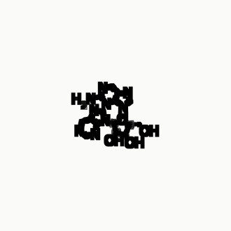 Nc1ncc2nc[nH]c2n1.OC[C@H]1O[C@@H](n2cnc3cncnc32)[C@H](O)[C@@H]1O